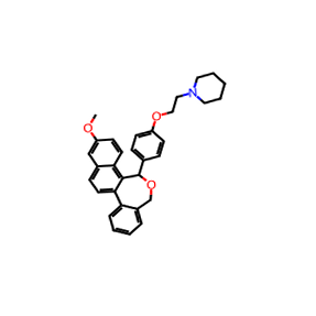 COc1ccc2c3c(ccc2c1)-c1ccccc1COC3c1ccc(OCCN2CCCCC2)cc1